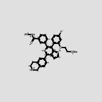 COCCOc1cc(F)ccc1-c1c(-c2cccc(C(=O)NC(C)C)c2)nc(-c2ccc3c(c2)CCNC3)c2ccsc12